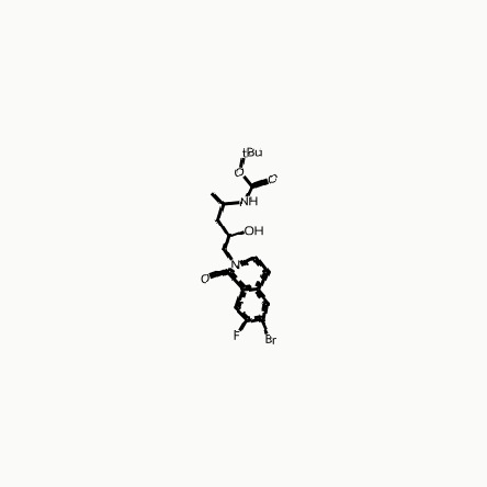 CC(CC(O)Cn1ccc2cc(Br)c(F)cc2c1=O)NC(=O)OC(C)(C)C